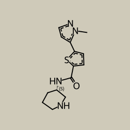 Cn1nccc1-c1ccc(C(=O)N[C@H]2CCCNC2)s1